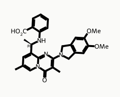 COc1cc2c(cc1OC)CN(c1nc3c([C@@H](C)Nc4ccccc4C(=O)O)cc(C)cn3c(=O)c1C)C2